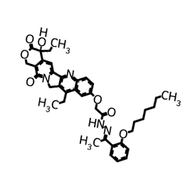 CCCCCCCOc1ccccc1/C(C)=N/NC(=O)COc1ccc2nc3c(c(CC)c2c1)Cn1c-3cc2c(c1=O)COC(=O)[C@]2(O)CC